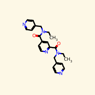 CCN(Cc1ccncc1)C(=O)c1ccnc(C(=O)N(CC)Cc2ccncc2)c1